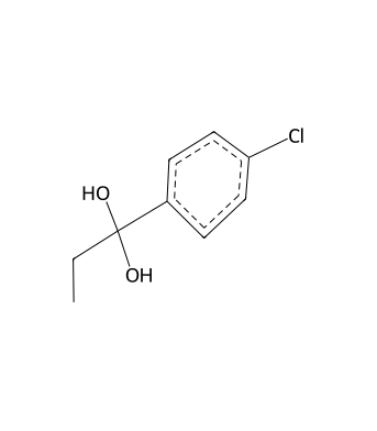 CCC(O)(O)c1ccc(Cl)cc1